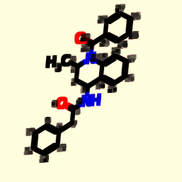 CC1CC(NC(=O)Cc2ccccc2)c2ccccc2N1C(=O)c1ccccc1